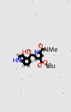 CNC(=O)c1cc(C(=O)OC(C)(C)C)cc(C(O)c2cccc3[nH]ccc23)n1